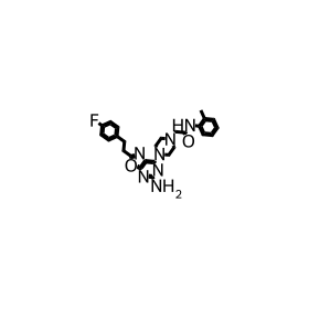 Cc1ccccc1NC(=O)CN1CCN(c2nc(N)nc3oc(CCc4ccc(F)cc4)nc23)CC1